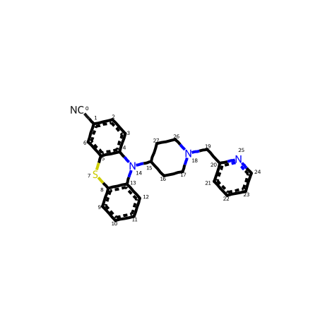 N#Cc1ccc2c(c1)Sc1ccccc1N2C1CCN(Cc2ccccn2)CC1